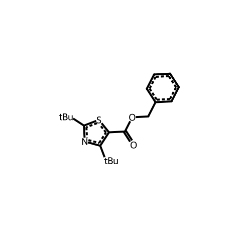 CC(C)(C)c1nc(C(C)(C)C)c(C(=O)OCc2ccccc2)s1